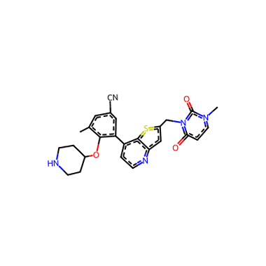 Cc1cc(C#N)cc(-c2ccnc3cc(Cn4c(=O)ccn(C)c4=O)sc23)c1OC1CCNCC1